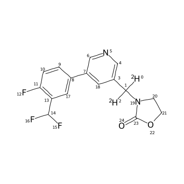 [2H]C([2H])(c1cncc(-c2ccc(F)c(C(F)F)c2)c1)N1CCOC1=O